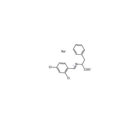 O=C([O-])C(Cc1ccccc1)/N=C/c1ccc(Cl)cc1Cl.[Na+]